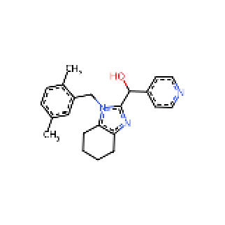 Cc1ccc(C)c(Cn2c(C(O)c3ccncc3)nc3c2CCCC3)c1